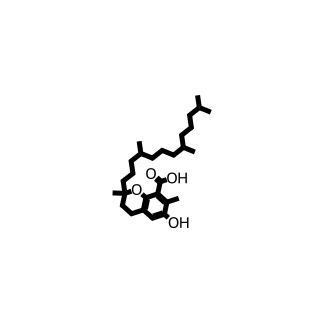 Cc1c(O)cc2c(c1C(=O)O)OC(C)(CCCC(C)CCCC(C)CCCC(C)C)CC2